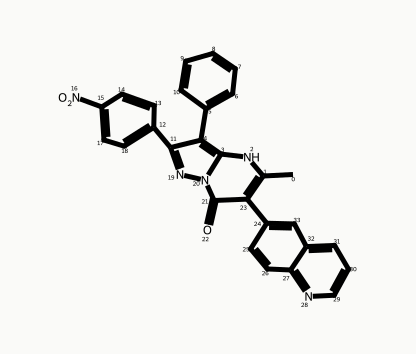 Cc1[nH]c2c(-c3ccccc3)c(-c3ccc([N+](=O)[O-])cc3)nn2c(=O)c1-c1ccc2ncccc2c1